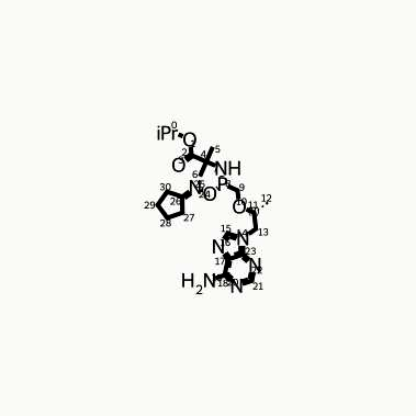 CC(C)OC(=O)C(C)(C)NP(CO[C@H](C)Cn1cnc2c(N)ncnc21)ON=C1CCCC1